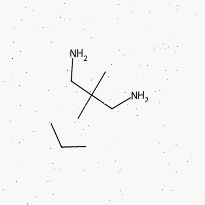 CC(C)(CN)CN.CCC